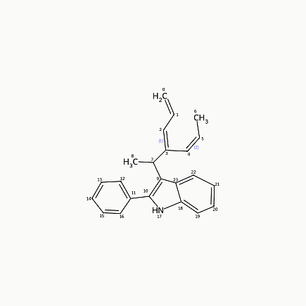 C=C/C=C(\C=C/C)C(C)c1c(-c2ccccc2)[nH]c2ccccc12